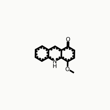 COc1ccc(=O)c2cc3ccccc3[nH]c1-2